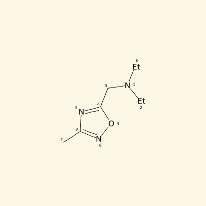 CCN(CC)Cc1nc(C)no1